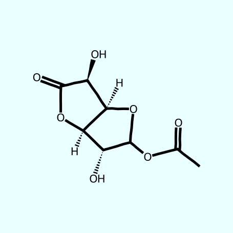 CC(=O)OC1O[C@H]2[C@H](OC(=O)[C@H]2O)[C@H]1O